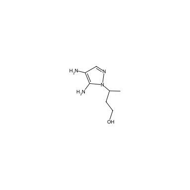 CC(CCO)n1ncc(N)c1N